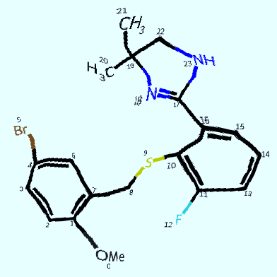 COc1ccc(Br)cc1CSc1c(F)cccc1C1=NC(C)(C)CN1